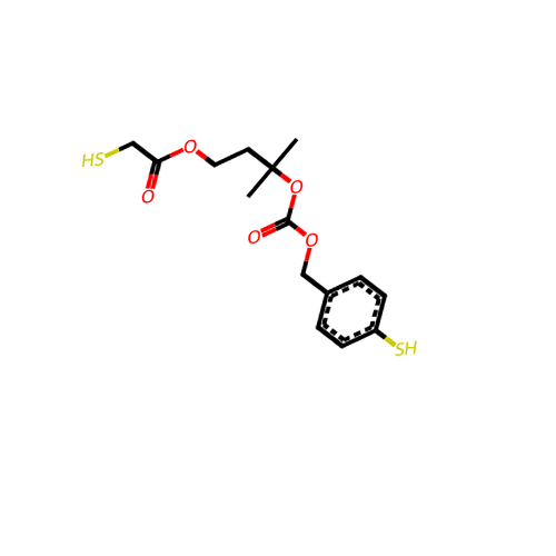 CC(C)(CCOC(=O)CS)OC(=O)OCc1ccc(S)cc1